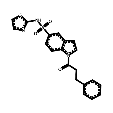 O=C(CCc1ccccc1)n1ccc2cc(S(=O)(=O)Nc3nccs3)ccc21